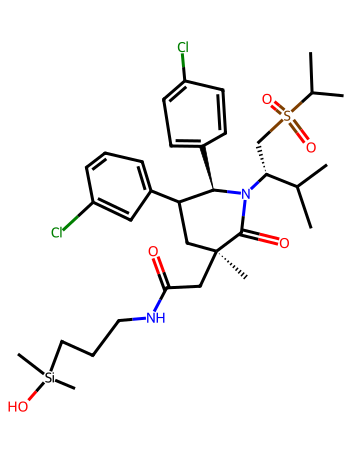 CC(C)[C@@H](CS(=O)(=O)C(C)C)N1C(=O)[C@@](C)(CC(=O)NCCC[Si](C)(C)O)CC(c2cccc(Cl)c2)[C@H]1c1ccc(Cl)cc1